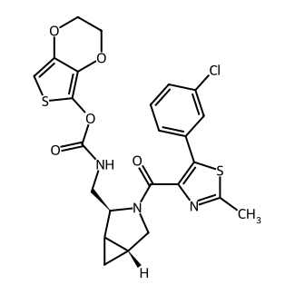 Cc1nc(C(=O)N2C[C@@H]3CC3[C@H]2CNC(=O)Oc2scc3c2OCCO3)c(-c2cccc(Cl)c2)s1